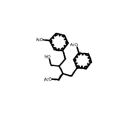 CC(=O)OCC(Cc1cccc(OC(C)=O)c1)C(CO)Cc1cccc(OC(C)=O)c1